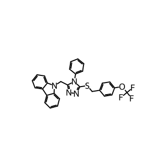 FC(F)(F)Oc1ccc(CSc2nnc(Cn3c4ccccc4c4ccccc43)n2-c2ccccc2)cc1